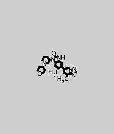 Cc1cc2c(cc1-c1cc(C)c3ncnn3c1)[nH]c(=O)n2[C@@H]1CCCN(C2CCOCC2)C1